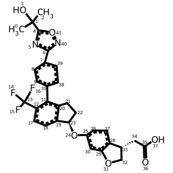 CC(C)(O)c1nc(-c2ccc(-c3c(C(F)(F)F)ccc4c3CC[C@H]4Oc3ccc4c(c3)OC[C@H]4CC(=O)O)cc2)no1